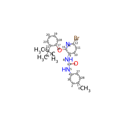 Cc1ccc(NC(=O)Nc2ccc(Br)nc2Oc2ccccc2C(C)(C)C)cc1